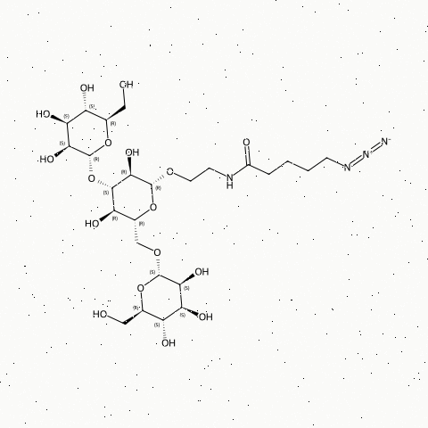 [N-]=[N+]=NCCCCC(=O)NCCO[C@@H]1O[C@H](CO[C@H]2O[C@H](CO)[C@@H](O)[C@H](O)[C@@H]2O)[C@@H](O)[C@H](O[C@H]2O[C@H](CO)[C@@H](O)[C@H](O)[C@@H]2O)[C@H]1O